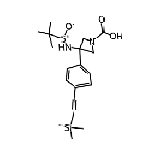 CC(C)(C)[S+]([O-])NC1(c2ccc(C#C[Si](C)(C)C)cc2)CN(C(=O)O)C1